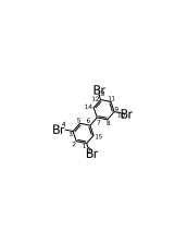 Brc1cc(Br)cc(-c2cc(Br)cc(Br)c2)c1